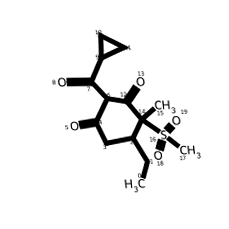 CCC1CC(=O)C(C(=O)C2CC2)C(=O)C1(C)S(C)(=O)=O